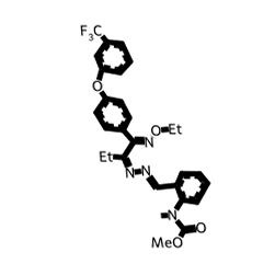 CCON=C(C(CC)=NN=Cc1ccccc1N(C)C(=O)OC)c1ccc(Oc2cccc(C(F)(F)F)c2)cc1